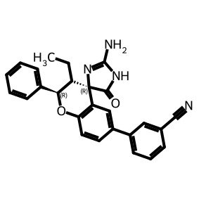 CCC1[C@H](c2ccccc2)Oc2ccc(-c3cccc(C#N)c3)cc2[C@]12N=C(N)NC2=O